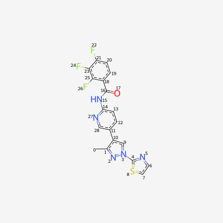 Cc1nn(-c2nccs2)cc1-c1ccc(NC(=O)c2ccc(F)c(F)c2F)nc1